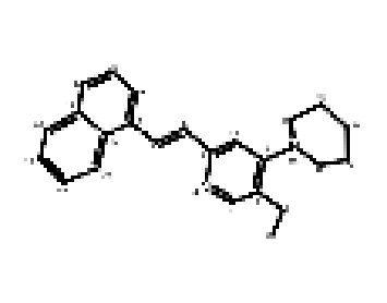 CCc1cnc(C=Cc2cccc3ccccc23)cc1N1CCCCC1